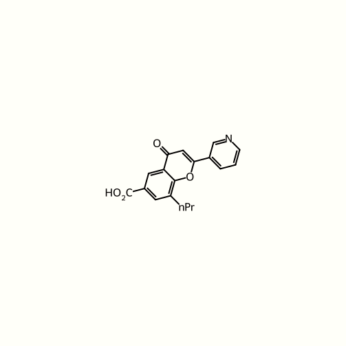 CCCc1cc(C(=O)O)cc2c(=O)cc(-c3cccnc3)oc12